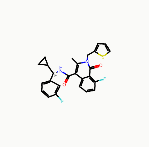 Cc1c(C(=O)N[C@H](c2cccc(F)c2)C2CC2)c2cccc(F)c2c(=O)n1Cc1cccs1